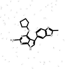 Cc1nc2ccc(-c3c[nH]c4nc(N)nc(OC5CCCC5)c34)cc2o1